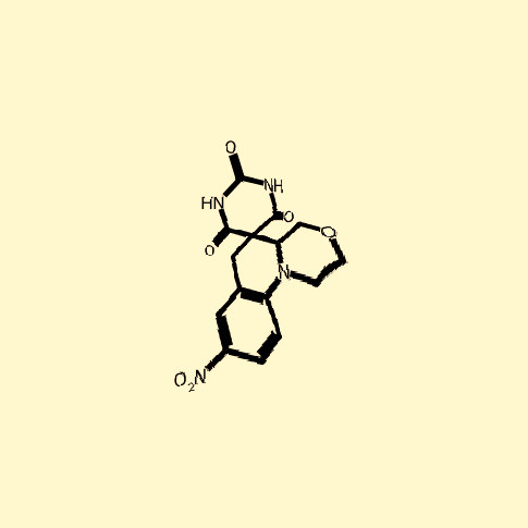 O=C1NC(=O)C2(Cc3cc([N+](=O)[O-])ccc3N3CCOCC32)C(=O)N1